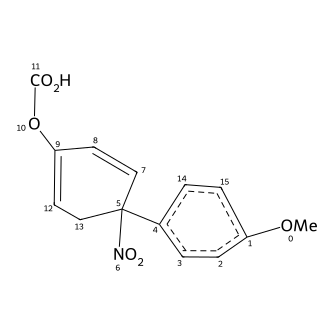 COc1ccc(C2([N+](=O)[O-])C=CC(OC(=O)O)=CC2)cc1